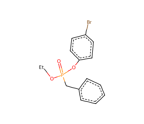 CCOP(=O)(Cc1ccccc1)Oc1ccc(Br)cc1